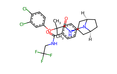 CC(C)(Oc1ccc(Cl)c(Cl)c1)C(=O)N[C@H]1C[C@H]2CC[C@@H](C1)N2c1ccc(C(=O)NCC(F)(F)F)cc1